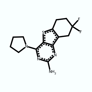 Nc1nc(N2CCCC2)c2sc3c(c2n1)CC(F)(F)CC3